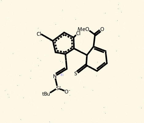 COC(=O)C1=CC=CC(=S)C1c1c(Cl)cc(Cl)cc1/C=N/[S+]([O-])C(C)(C)C